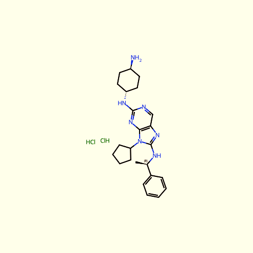 C[C@@H](Nc1nc2cnc(N[C@H]3CC[C@H](N)CC3)nc2n1C1CCCC1)c1ccccc1.Cl.Cl